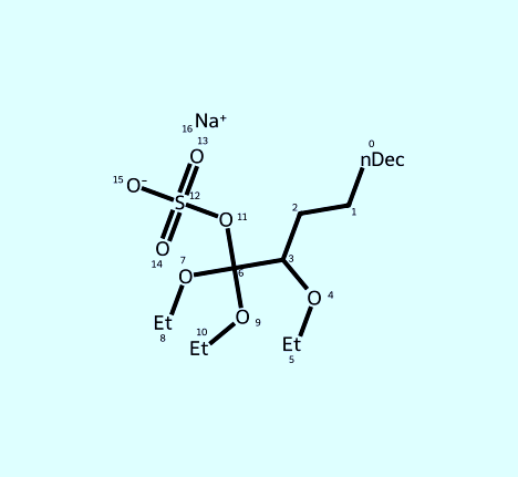 CCCCCCCCCCCCC(OCC)C(OCC)(OCC)OS(=O)(=O)[O-].[Na+]